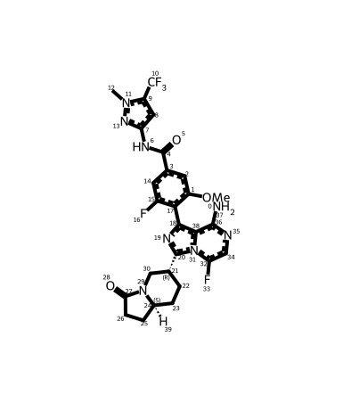 COc1cc(C(=O)Nc2cc(C(F)(F)F)n(C)n2)cc(F)c1-c1nc([C@@H]2CC[C@H]3CCC(=O)N3C2)n2c(F)cnc(N)c12